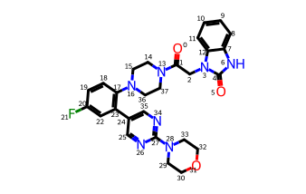 O=C(Cn1c(=O)[nH]c2ccccc21)N1CCN(c2ccc(F)cc2-c2cnc(N3CCOCC3)nc2)CC1